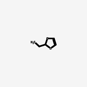 C[CH]C1OC=CO1